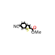 COC(=O)c1cc2ccc(C#N)cc2s1